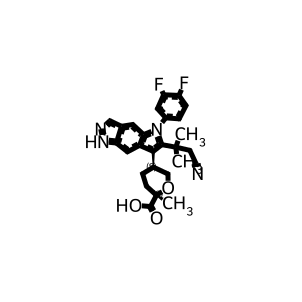 CC(C)(CC#N)c1c([C@@H]2CC[C@@](C)(C(=O)O)OC2)c2cc3[nH]ncc3cc2n1-c1ccc(F)c(F)c1